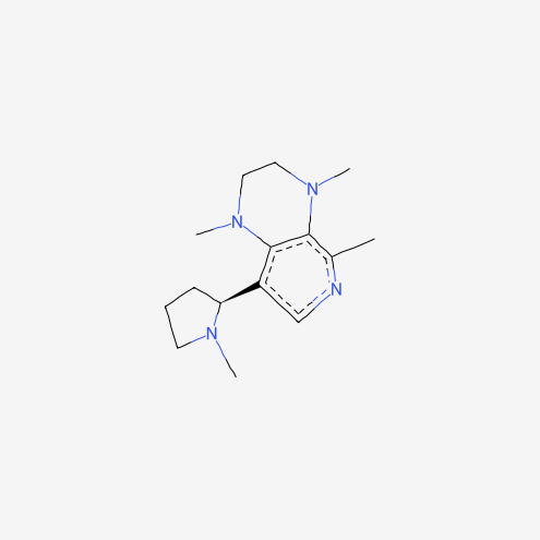 Cc1ncc([C@@H]2CCCN2C)c2c1N(C)CCN2C